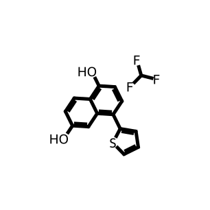 FC(F)F.Oc1ccc2c(O)ccc(-c3cccs3)c2c1